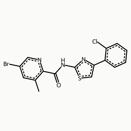 Cc1cc(Br)cnc1C(=O)Nc1nc(-c2ccccc2Cl)cs1